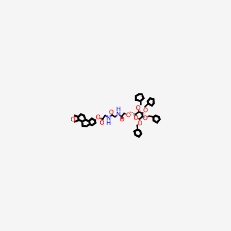 O=C(CNC(=O)COC[C@H]1OC(OCc2ccccc2)[C@H](OCc2ccccc2)[C@@H](OCc2ccccc2)[C@@H]1OCc1ccccc1)NCC(=O)Oc1ccc2ccc3c4cocc4ccc3c2c1